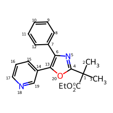 CCOC(=O)C(C)(C)c1nc(-c2ccccc2)c(-c2cccnc2)o1